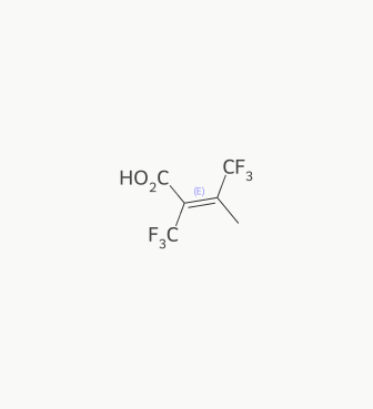 C/C(=C(/C(=O)O)C(F)(F)F)C(F)(F)F